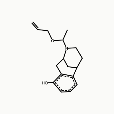 C=CCOC(C)N1CCC2CC1Cc1c(O)cccc12